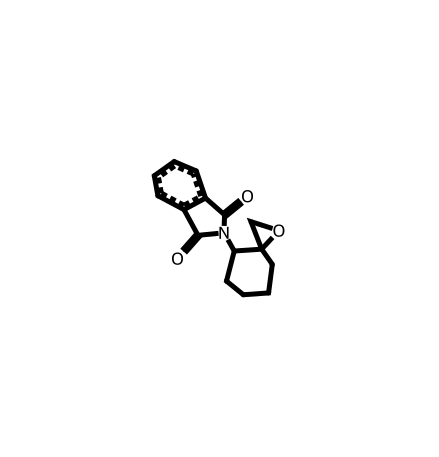 O=C1c2ccccc2C(=O)N1C1CCCCC12CO2